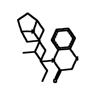 CCCCC1CC2CCC(C1)N2CC(C)CN1C(=O)CSc2ccccc21